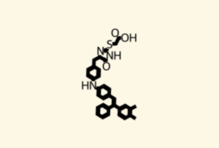 Cc1ccc(/C(=C/c2ccc(Nc3ccc(CC4N=C(SCC(=O)O)NC4=O)cc3)cc2)c2ccccc2)cc1C